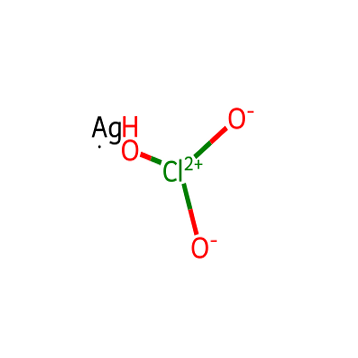 [Ag].[O-][Cl+2]([O-])O